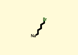 [Na][CH2]CCCCBr